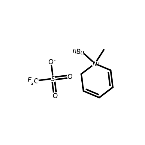 CCCC[N+]1(C)C=CC=CC1.O=S(=O)([O-])C(F)(F)F